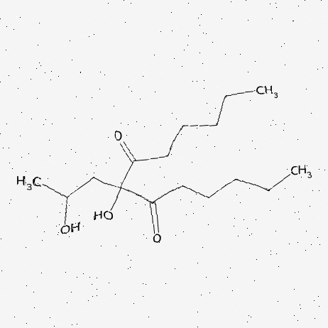 CCCCCC(=O)C(O)(CC(C)O)C(=O)CCCCC